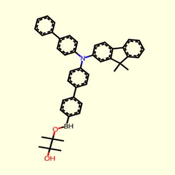 CC1(C)c2ccccc2-c2ccc(N(c3ccc(-c4ccccc4)cc3)c3ccc(-c4ccc(BOC(C)(C)C(C)(C)O)cc4)cc3)cc21